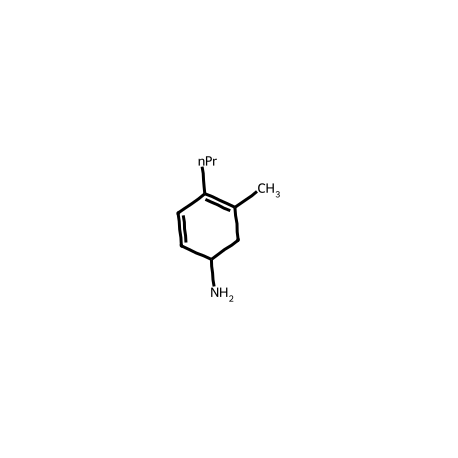 CCCC1=C(C)CC(N)C=C1